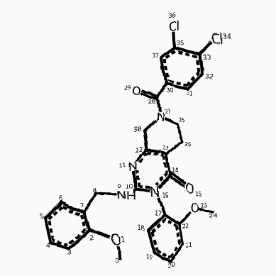 COc1ccccc1CNc1nc2c(c(=O)n1-c1ccccc1OC)CCN(C(=O)c1ccc(Cl)c(Cl)c1)C2